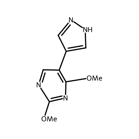 COc1ncc(-c2cn[nH]c2)c(OC)n1